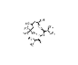 CC(C)C(=O)OOC(=O)C(C)C.CC(CC(=O)O)CC(C)(C)C